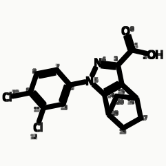 O=C(O)c1nn(-c2ccc(Cl)c(Cl)c2)c2c1C1CCC2C1